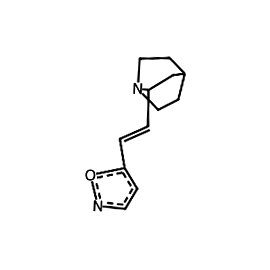 C(=C\C1CC2CCN1CC2)/c1ccno1